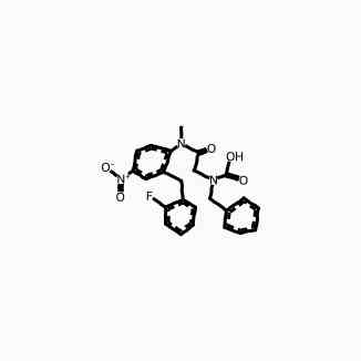 CN(C(=O)CN(Cc1ccccc1)C(=O)O)c1ccc([N+](=O)[O-])cc1Cc1ccccc1F